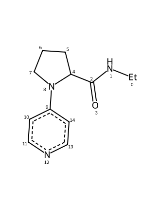 CCNC(=O)C1CCCN1c1ccncc1